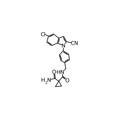 N#Cc1cc2cc(Cl)ccc2n1-c1ccc(CNC(=O)C2(C(N)=O)CC2)cc1